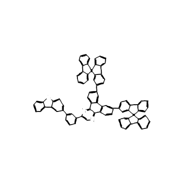 c1cc(-c2ccc3sc4ccccc4c3c2)cc(-c2cnc3c4ccc(-c5ccc6c(c5)C5(c7ccccc7-c7ccccc75)c5ccccc5-6)cc4c4cc(-c5ccc6c(c5)C5(c7ccccc7-c7ccccc75)c5ccccc5-6)ccc4c3n2)c1